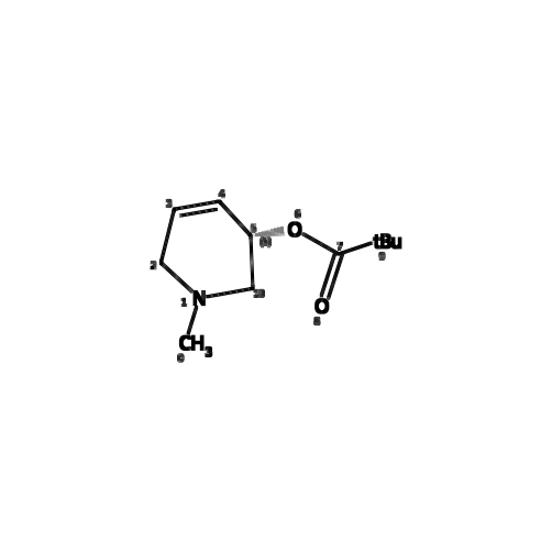 CN1CC=C[C@H](OC(=O)C(C)(C)C)C1